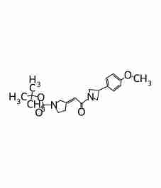 COc1ccc(C2CN(C(=O)C=C3CCN(C(=O)OC(C)(C)C)C3)C2)cc1